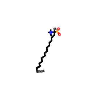 CCCCCCCC=CCCCCCCCCCCCCC(CC)(P(=O)=O)[N+](C)(C)C